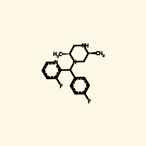 C[C@@H]1CN[C@@H](C)CN1C(c1ccc(F)cc1)c1ncccc1F